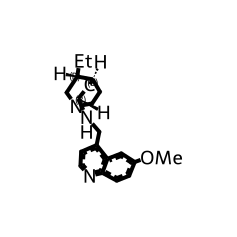 CC[C@H]1CN2CC[C@H]1C[C@@H]2NCc1ccnc2ccc(OC)cc12